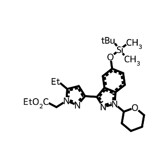 CCOC(=O)Cn1nc(-c2nn(C3CCCCO3)c3ccc(O[Si](C)(C)C(C)(C)C)cc23)cc1CC